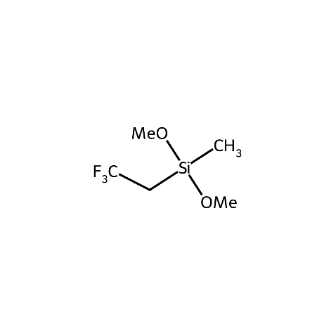 CO[Si](C)(CC(F)(F)F)OC